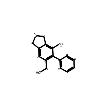 CCCCc1c2c(cc(CO)c1-c1ccccc1)COC2